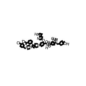 COc1cc(CN2CCN(C3CC4(CCN(c5ccc(C(=O)NS(=O)(=O)c6ccc(NCC7CCC(C)(O)CC7)c([N+](=O)[O-])c6)c(Oc6cnc7[nH]ccc7c6)c5)CC4)C3)[C@H](c3ccccc3C(C)C)C2)ccc1Cl